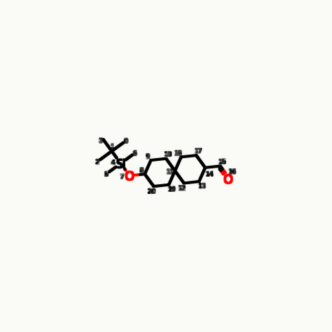 CC(C)(C)[Si](C)(C)OC1CCC2(CCC(C=O)CC2)CC1